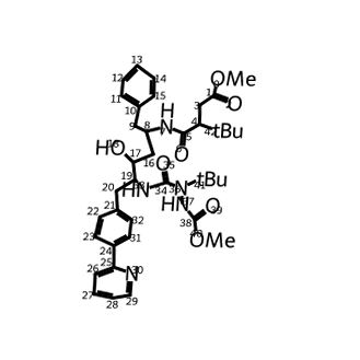 COC(=O)CC(C(=O)NC(Cc1ccccc1)CC(O)C(Cc1ccc(-c2ccccn2)cc1)NC(=O)N(NC(=O)OC)C(C)(C)C)C(C)(C)C